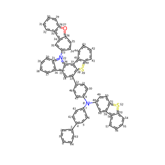 c1ccc(-c2ccc(N(c3ccc(-c4cc5c6ccccc6n(-c6ccc7oc8ccccc8c7c6)c5c5c4sc4ccccc45)cc3)c3ccc4sc5ccccc5c4c3)cc2)cc1